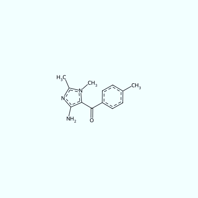 Cc1ccc(C(=O)c2c(N)nc(C)n2C)cc1